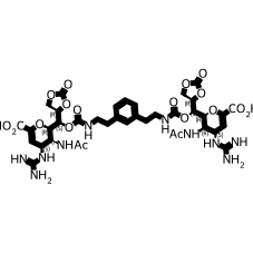 CC(=O)N[C@H]1[C@H]([C@H](OC(=O)NCCc2cccc(CCNC(=O)O[C@@H]([C@@H]3OC(C(=O)O)=C[C@H](NC(=N)N)[C@H]3NC(C)=O)[C@H]3COC(=O)O3)c2)[C@H]2COC(=O)O2)OC(C(=O)O)=C[C@@H]1NC(=N)N